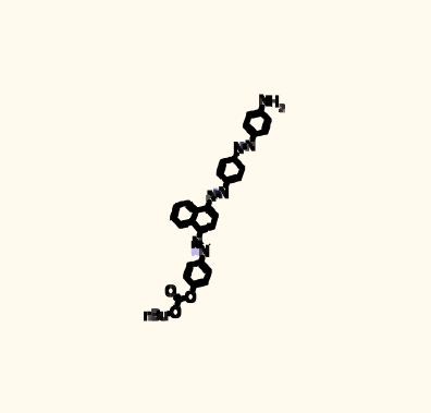 CCCCOC(=O)Oc1ccc(/N=N/c2ccc(/N=N/C3=CCC(/N=N/c4ccc(N)cc4)C=C3)c3ccccc23)cc1